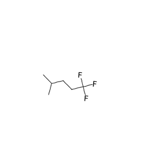 CC(C)CCC(F)(F)F